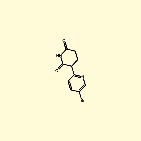 O=C1CCC(c2ccc(Br)cn2)C(=O)N1